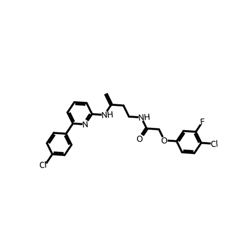 C=C(CCNC(=O)COc1ccc(Cl)c(F)c1)Nc1cccc(-c2ccc(Cl)cc2)n1